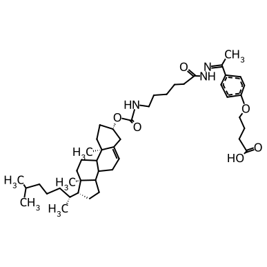 CC(=NNC(=O)CCCCCNC(=O)O[C@H]1CC[C@@]2(C)C(=CCC3C2CC[C@@]2(C)C3CC[C@@H]2[C@H](C)CCCC(C)C)C1)c1ccc(OCCCC(=O)O)cc1